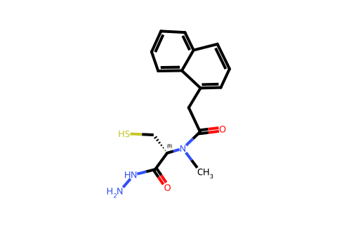 CN(C(=O)Cc1cccc2ccccc12)[C@@H](CS)C(=O)NN